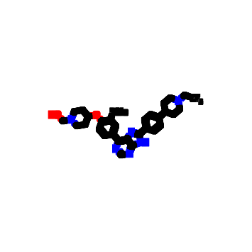 CNc1cc(-c2ncnc3[nH]c(-c4ccc(C5CCN(CC(F)(F)F)CC5)cc4)nc23)ccc1OC1CCN(CO)CC1